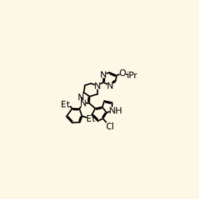 CCc1cccc(CC)c1-n1nc2c(c1-c1ccc(Cl)c3[nH]ccc13)CN(c1ncc(OC(C)C)cn1)CC2